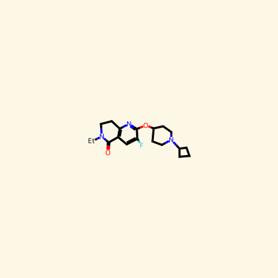 CCN1CCc2nc(OC3CCN(C4CCC4)CC3)c(F)cc2C1=O